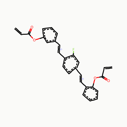 C=CC(=O)Oc1cccc(/C=C/c2ccc(/C=C/c3ccccc3OC(=O)C=C)cc2F)c1